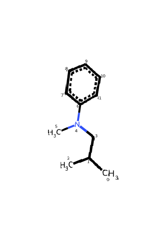 CC(C)CN(C)c1c[c]ccc1